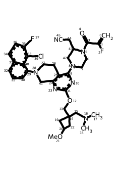 C=C(F)C(=O)N1CCN(c2nc(OCC3(CN(C)C)CC(OC)C3)nc3c2CCN(c2cccc4ccc(F)c(Cl)c24)C3)CC1CC#N